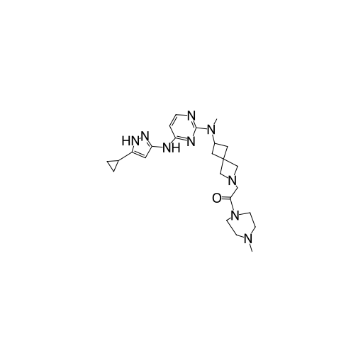 CN1CCN(C(=O)CN2CC3(CC(N(C)c4nccc(Nc5cc(C6CC6)[nH]n5)n4)C3)C2)CC1